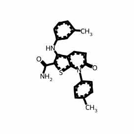 Cc1ccc(-n2c(=O)ccc3c(Nc4cccc(C)c4)c(C(N)=O)sc32)cc1